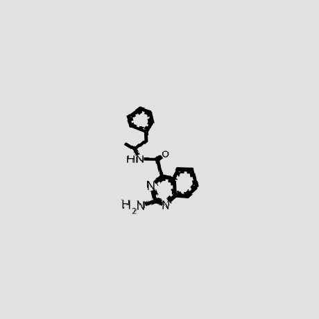 CC(Cc1ccccc1)NC(=O)c1nc(N)nc2ccccc12